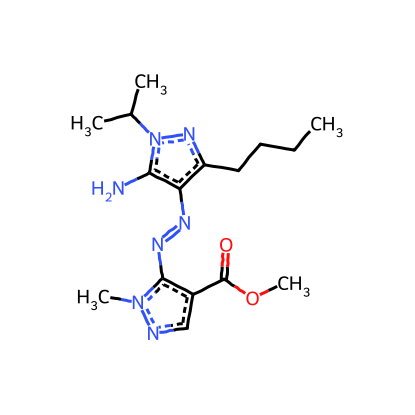 CCCCc1nn(C(C)C)c(N)c1N=Nc1c(C(=O)OC)cnn1C